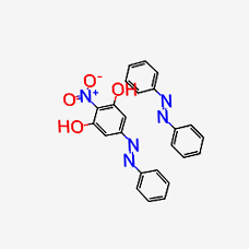 O=[N+]([O-])c1c(O)cc(N=Nc2ccccc2)cc1O.c1ccc(N=Nc2ccccc2)cc1